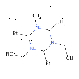 CCC1N(C)C(C)N(CC#N)C(CC)N1CC#N